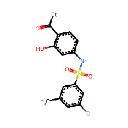 CCC(=O)c1ccc(NS(=O)(=O)c2cc(C)cc(Cl)c2)cc1O